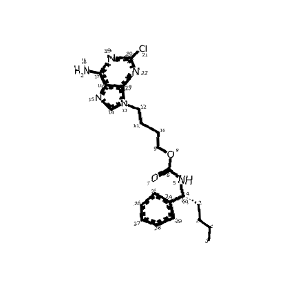 CCCC[C@@H](NC(=O)OCCCCn1cnc2c(N)nc(Cl)nc21)c1ccccc1